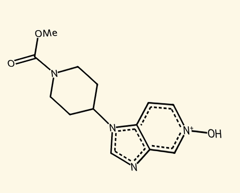 COC(=O)N1CCC(n2cnc3c[n+](O)ccc32)CC1